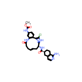 COC(=O)Nc1ccc2c(c1)NC(=O)CC/C=C/C[C@H](NC(=O)[C@H]1CCc3c(ccnc3N)C1)c1nc-2c(Cl)[nH]1